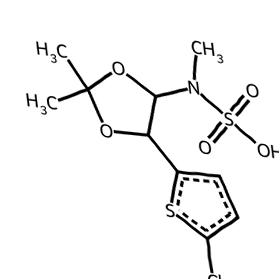 CN(C1OC(C)(C)OC1c1ccc(Cl)s1)S(=O)(=O)O